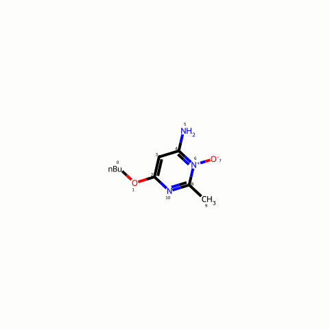 CCCCOc1cc(N)[n+]([O-])c(C)n1